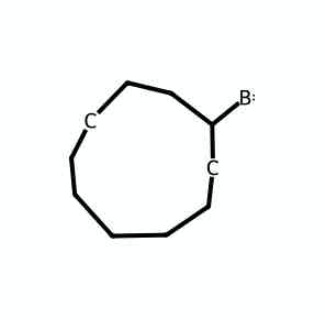 [B]C1CCCCCCCCC1